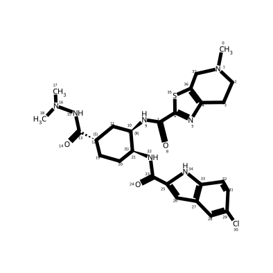 CN1CCc2nc(C(=O)N[C@@H]3C[C@@H](C(=O)NN(C)C)CC[C@@H]3NC(=O)c3cc4cc(Cl)ccc4[nH]3)sc2C1